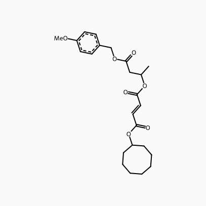 COc1ccc(COC(=O)CC(C)OC(=O)/C=C/C(=O)OC2CCCCCCC2)cc1